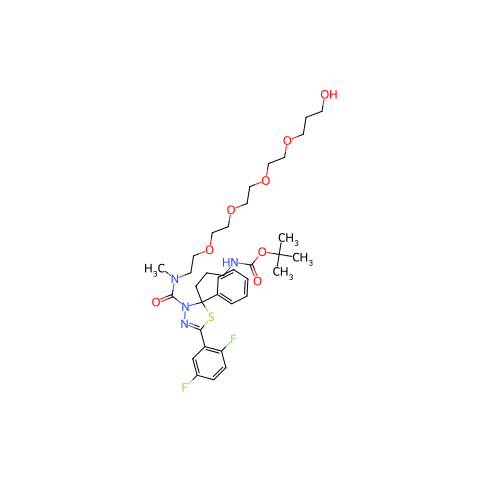 CN(CCOCCOCCOCCOCCCO)C(=O)N1N=C(c2cc(F)ccc2F)SC1(CCCNC(=O)OC(C)(C)C)c1ccccc1